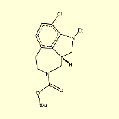 CCN1C[C@@H]2CN(C(=O)OC(C)(C)C)CCc3ccc(Cl)c1c32